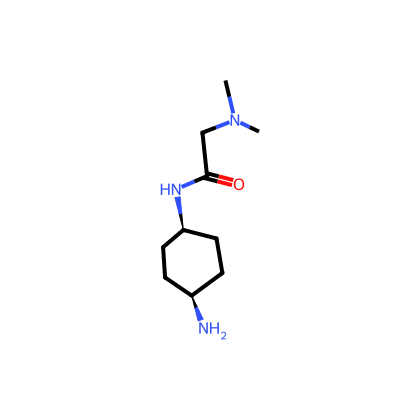 CN(C)CC(=O)N[C@H]1CC[C@@H](N)CC1